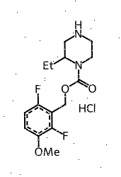 CCC1CNCCN1C(=O)OCc1c(F)ccc(OC)c1F.Cl